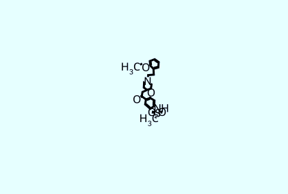 CCOc1ccccc1CCN1CCC2(CC1)CC(=O)c1ccc(NS(C)(=O)=O)cc1O2